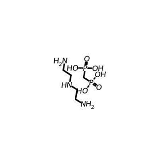 NCCNCCN.O=P(O)(O)CP(=O)(O)O